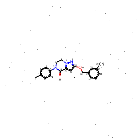 Cc1ccc(N2CCn3nc(OCc4cccc(C#N)c4)cc3C2=O)cc1